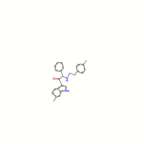 Cc1ccc2c(C(=O)C(NCCc3ccc(F)cc3)c3ccccc3)c[nH]c2c1